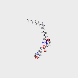 CCCCCCCC/C=C\CCCCCCCC(=O)NC(CC)COC(=O)CCCN1CCOCC1